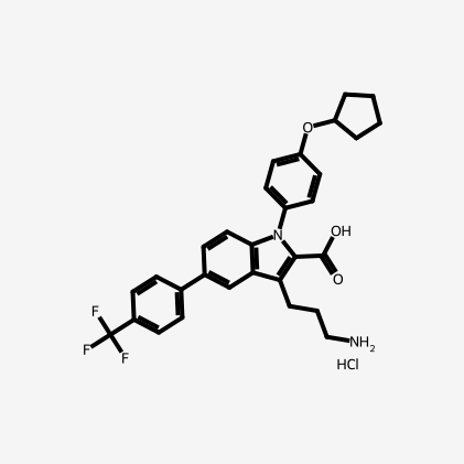 Cl.NCCCc1c(C(=O)O)n(-c2ccc(OC3CCCC3)cc2)c2ccc(-c3ccc(C(F)(F)F)cc3)cc12